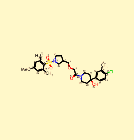 COc1cc(C)c(S(=O)(=O)N2CCC(COCC(=O)N3CCC(O)(c4ccc(Cl)c(C(F)(F)F)c4)CC3)C2)c(C)c1